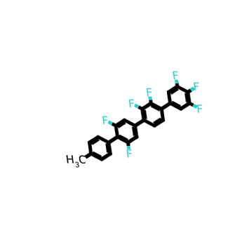 Cc1ccc(-c2c(F)cc(-c3ccc(-c4cc(F)c(F)c(F)c4)c(F)c3F)cc2F)cc1